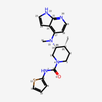 C[C@@H]1CCN(C(=O)Nc2cccs2)C[C@@H]1N(C)c1ccnc2[nH]ccc12